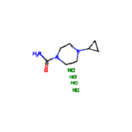 Cl.Cl.Cl.Cl.NC(=O)N1CCN(C2CC2)CC1